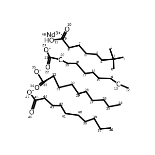 CC(C)(C)CCCCCC(=O)O.CCCCCCCCCC(=O)[O-].CCCCCCCCCC(=O)[O-].CCCCCCCCCC(=O)[O-].[Nd+3]